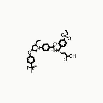 CC[C@@H]1C[C@H](Oc2ccc(C(F)(F)F)cc2)CN1c1ccc(C(=O)N[C@@H](CCC(=O)O)c2ccc(S(=O)(=O)CC)cc2)cc1